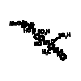 COc1ccc(-n2ncc(N=Nc3ccc4c(O)c(N=Nc5cc(C)c(N=Nc6nc7ccccc7s6)cc5OCCCS(=O)(=O)O)ccc4c3S(=O)(=O)O)c2O)cc1